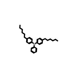 CCCCCCc1ccc(N(c2ccccc2)c2ccc(CCCCCC)cc2)cc1